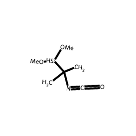 CO[SiH](OC)C(C)(C)N=C=O